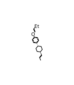 CC=C[C@H]1CC[C@H](c2ccc(OC=CCC)cc2)CC1